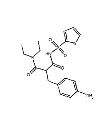 CCN(CC)C(=O)C(Cc1ccc(N)cc1)C(=O)NS(=O)(=O)c1cccs1